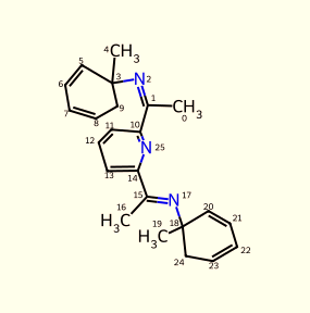 CC(=NC1(C)C=CC=CC1)c1cccc(C(C)=NC2(C)C=CC=CC2)n1